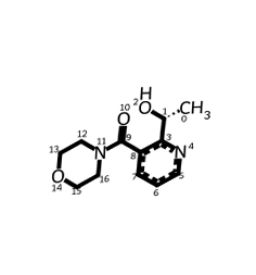 C[C@@H](O)c1ncccc1C(=O)N1CCOCC1